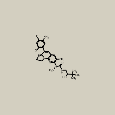 Cc1cc2c(nc1N(C)C(=O)NCC(O)C(C)(C)C)N1CCN=C1C(c1cc(N)c(F)cc1Cl)=C2